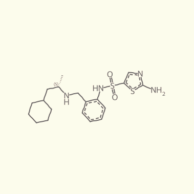 C[C@@H](CC1CCCCC1)NCc1ccccc1NS(=O)(=O)c1cnc(N)s1